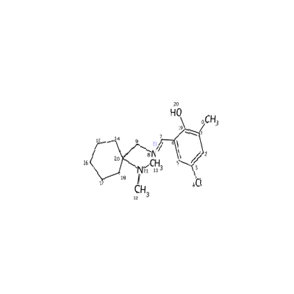 Cc1cc(Cl)cc(/C=N/CC2(N(C)C)CCCCC2)c1O